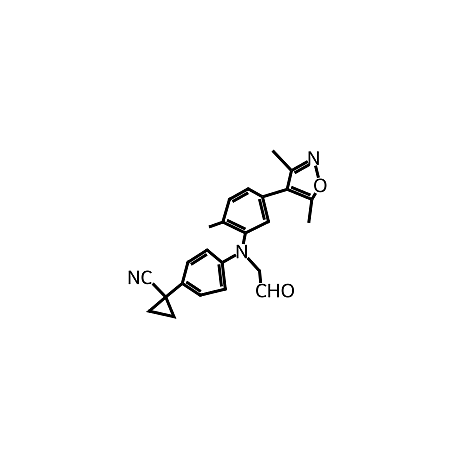 Cc1ccc(-c2c(C)noc2C)cc1N(CC=O)c1ccc(C2(C#N)CC2)cc1